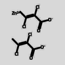 C/C(Cl)=C(\Cl)C(=O)[O-].C/C(Cl)=C(\Cl)C(=O)[O-].[Zn+2]